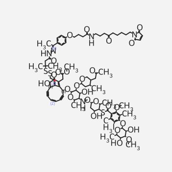 COC(=O)CC1=C2/C(=C/CSSC(C)(C)CC(=O)N/N=C(\C)c3ccc(OCCCC(=O)NCCCC(=O)CCCCCN4C(=O)C=CC4=O)cc3)[C@](O)(C#C/C=C\C#C[C@@H]2OC2OC(C)C(NOC3CC(O)C(SC(=O)c4c(C)c(I)c(OC5OC(C)C(O)C(OC)C5O)c(C)c4OC)C(C)O3)C(O)C2OC2CC(C)C(CC(C)=O)CO2)CC1=O